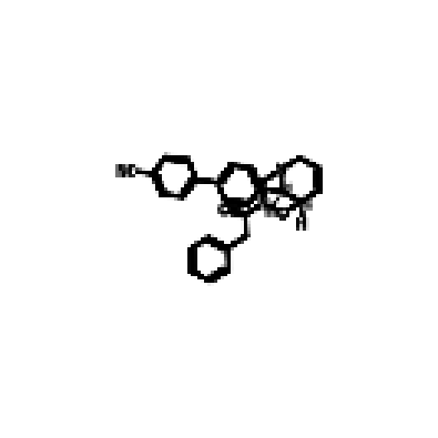 N#Cc1ccc(-c2ccc([C@@H]3[C@@H]4C=CCN3CN(C(=O)Cc3ccccc3)O4)cc2)cc1